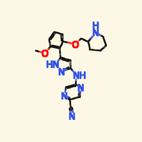 COc1cccc(OCC2CCCCN2)c1-c1cc(Nc2cnc(C#N)cn2)n[nH]1